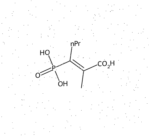 CCC/C(=C(/C)C(=O)O)P(=O)(O)O